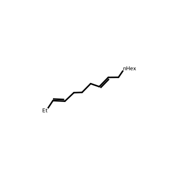 [CH2]CCCCCCC=CCCCC=CCC